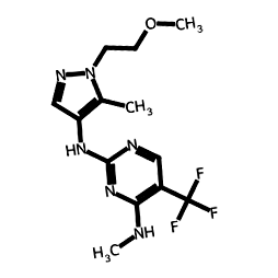 CNc1nc(Nc2cnn(CCOC)c2C)ncc1C(F)(F)F